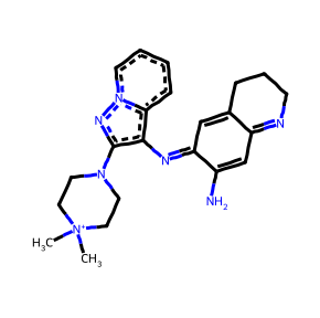 C[N+]1(C)CCN(c2nn3ccccc3c2/N=C2\C=C3CCCN=C3C=C2N)CC1